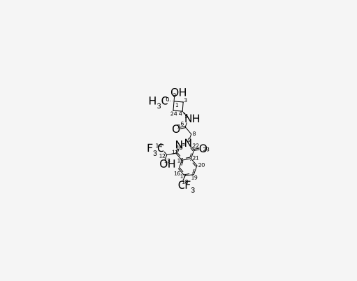 C[C@]1(O)C[C@@H](NC(=O)Cn2nc(C(O)C(F)(F)F)c3cc(C(F)(F)F)ccc3c2=O)C1